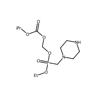 CCOP(=O)(CN1CCNCC1)OCOC(=O)OC(C)C